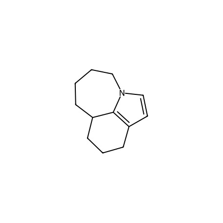 c1cn2c3c1CCCC3CCCC2